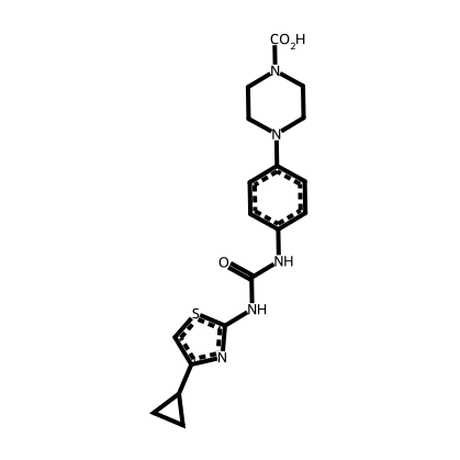 O=C(Nc1ccc(N2CCN(C(=O)O)CC2)cc1)Nc1nc(C2CC2)cs1